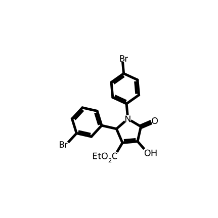 CCOC(=O)C1=C(O)C(=O)N(c2ccc(Br)cc2)C1c1cccc(Br)c1